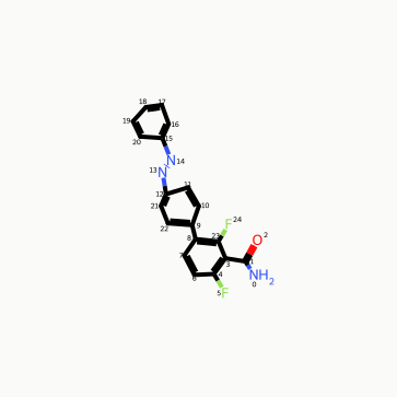 NC(=O)c1c(F)ccc(-c2ccc(N=Nc3ccccc3)cc2)c1F